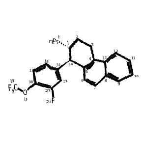 CCC[C@@H]1CCc2c(ccc3ccccc23)[C@H]1c1ccc(OC(F)(F)F)c(F)c1